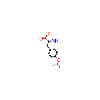 CC(C)Oc1ccc(C[C@H](N)C(=O)O)cc1